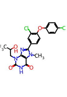 Cn1c(-c2ccc(Oc3ccc(Cl)cc3)c(Cl)c2)nc2c1c(=O)[nH]c(=O)n2CC(O)C(F)(F)F